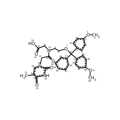 COc1ccc(C(OCCN(CC(=O)O)C(=O)Cn2cc(C)c(=O)[nH]c2=O)(c2ccccc2)c2ccc(OC)cc2)cc1